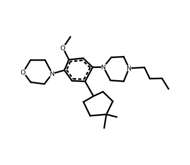 CCCCN1CCN(c2cc(OC)c(N3CCOCC3)cc2C2CCC(C)(C)CC2)CC1